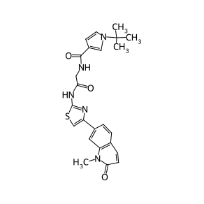 Cn1c(=O)ccc2ccc(-c3csc(NC(=O)CNC(=O)c4ccn(C(C)(C)C)c4)n3)cc21